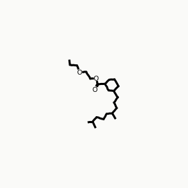 CCCOCCOC(=O)C1CCCC(CCCC(C)CCCC(C)C)C1